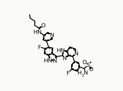 CCCCC(=O)Nc1cncc(-c2cc3c(-c4nc5c(-c6cc(F)cc(C(N)S(C)(=O)=O)c6)nccc5[nH]4)n[nH]c3cc2F)c1